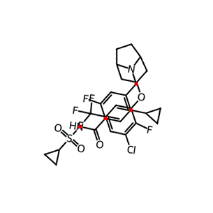 O=C(NS(=O)(=O)C1CC1)c1cc(C2CC2)c(CN2C3CCC2CC(Oc2cc(C(F)(F)F)cc(Cl)c2F)C3)cc1F